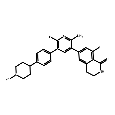 CC(C)N1CCC(c2ccc(-c3cc(-c4cc(F)c5c(c4)CCNC5=O)c(N)nc3F)cc2)CC1